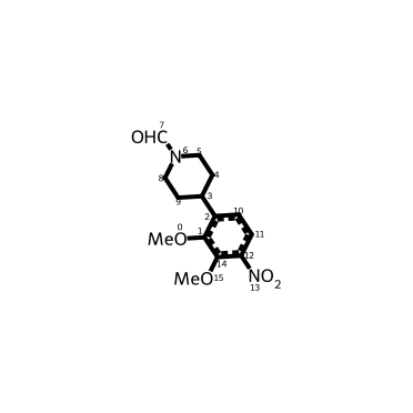 COc1c(C2CCN(C=O)CC2)ccc([N+](=O)[O-])c1OC